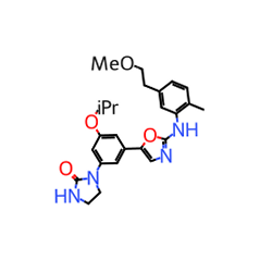 COCCc1ccc(C)c(Nc2ncc(-c3cc(OC(C)C)cc(N4CCNC4=O)c3)o2)c1